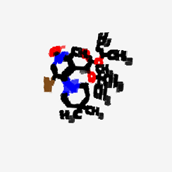 Cc1c([C@H](OC(C)(C)C)C(=O)OC(C)C)c(N2CCC(C)(C)CC2)c(Br)c[n+]1[O-]